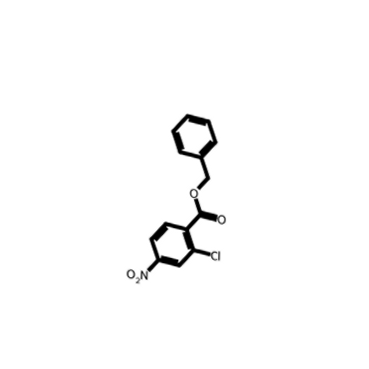 O=C(OCc1ccccc1)c1ccc([N+](=O)[O-])cc1Cl